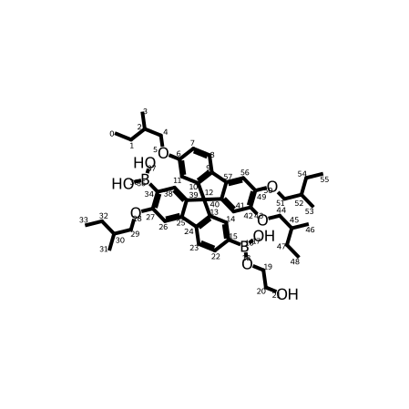 CCC(C)COc1ccc2c(c1)C1(c3cc(B(O)OCCO)ccc3-c3cc(OCC(C)CC)c(B(O)O)cc31)c1cc(OCC(C)CC)c(OCC(C)CC)cc1-2